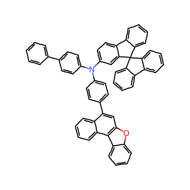 c1ccc(-c2ccc(N(c3ccc(-c4cc5oc6ccccc6c5c5ccccc45)cc3)c3ccc4c(c3)C3(c5ccccc5-c5ccccc53)c3ccccc3-4)cc2)cc1